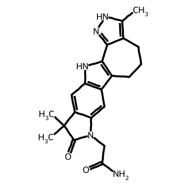 Cc1[nH]nc2c1CCCc1c-2[nH]c2cc3c(cc12)N(CC(N)=O)C(=O)C3(C)C